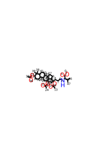 COC(=O)[C@@H](NCCCC(C)(OC(C)=O)C1CC[C@]2(C)[C@@H]1C(OC(C)=O)CC1[C@@]3(C)CC[C@H](OC(C)=O)C(C)(C)C3CC[C@]12C)C(C)C